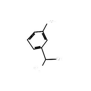 CCOC(=O)C(N)c1cccc(OC)c1